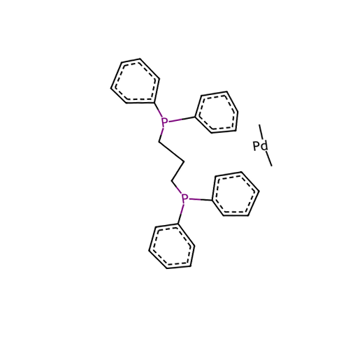 [CH3][Pd][CH3].c1ccc(P(CCCP(c2ccccc2)c2ccccc2)c2ccccc2)cc1